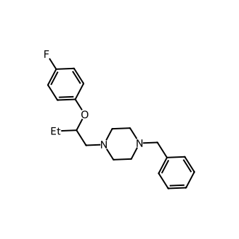 CCC(CN1CCN(Cc2ccccc2)CC1)Oc1ccc(F)cc1